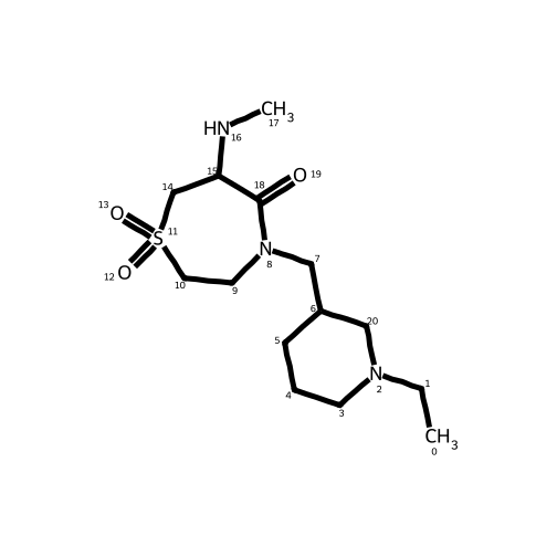 CCN1CCCC(CN2CCS(=O)(=O)CC(NC)C2=O)C1